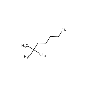 CC(C)(C)CCCCC#N